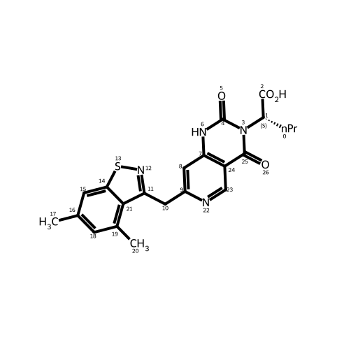 CCC[C@@H](C(=O)O)n1c(=O)[nH]c2cc(Cc3nsc4cc(C)cc(C)c34)ncc2c1=O